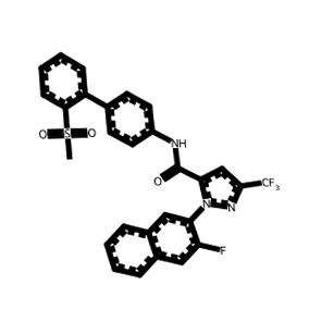 CS(=O)(=O)c1ccccc1-c1ccc(NC(=O)c2cc(C(F)(F)F)nn2-c2cc3ccccc3cc2F)cc1